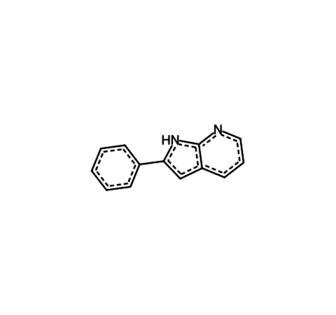 c1ccc(-c2cc3cccnc3[nH]2)cc1